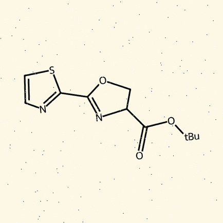 CC(C)(C)OC(=O)C1COC(c2nccs2)=N1